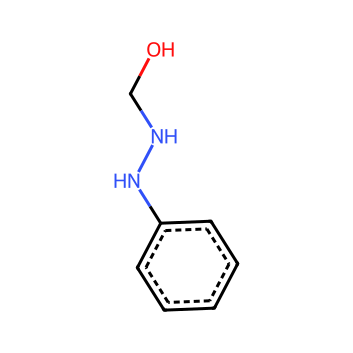 OCNNc1ccccc1